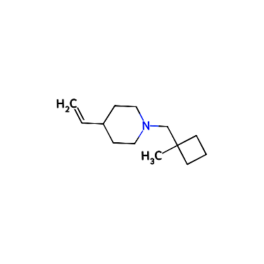 C=CC1CCN(CC2(C)CCC2)CC1